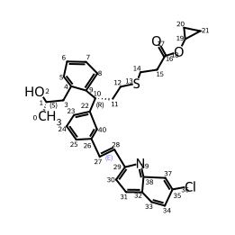 C[C@H](O)Cc1ccccc1[C@H](CCSCCC(=O)OC1CC1)c1cccc(/C=C/c2ccc3ccc(Cl)cc3n2)c1